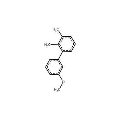 COc1cccc(-c2cccc(C)c2C)c1